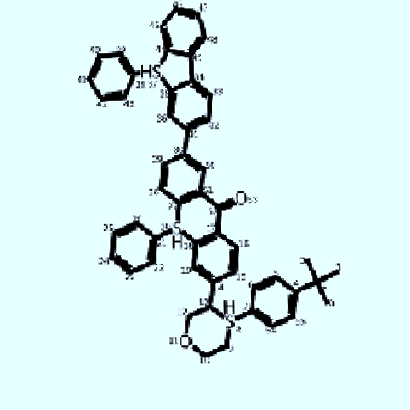 CC(C)(C)c1ccc([SH]2CCOCC2c2ccc3c(c2)[SH](c2ccccc2)c2ccc(-c4ccc5c(c4)[SH](c4ccccc4)c4ccccc4-5)cc2C3=O)cc1